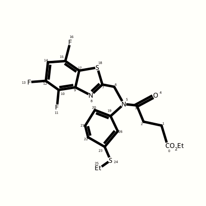 CCOC(=O)CCC(=O)N(Cc1nc2c(F)c(F)cc(F)c2s1)c1cccc(SCC)c1